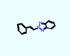 C(=Cn1nc2ccccc2n1)c1ccccc1